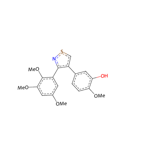 COc1cc(OC)c(OC)c(-c2nscc2-c2ccc(OC)c(O)c2)c1